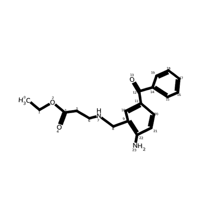 CCOC(=O)CCNCc1cc(C(=O)c2ccccc2)ccc1N